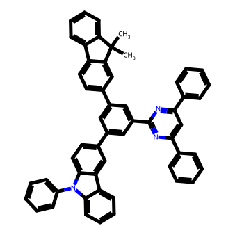 CC1(C)c2ccccc2-c2ccc(-c3cc(-c4ccc5c(c4)c4ccccc4n5-c4ccccc4)cc(-c4nc(-c5ccccc5)cc(-c5ccccc5)n4)c3)cc21